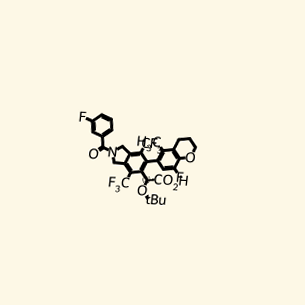 Cc1c(-c2c([C@H](OC(C)(C)C)C(=O)O)c(C(F)(F)F)c3c(c2C(F)(F)F)CN(C(=O)c2cccc(F)c2)C3)cc(F)c2c1CCCO2